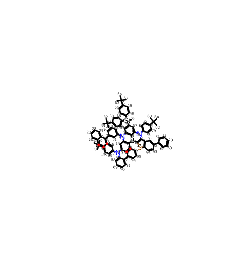 CC(C)(C)c1ccc(N(c2ccc3c(c2)N(c2cccc(-c4cccc5ccccc45)c2)c2cc([Si](C)(c4ccc(C(C)(C)C)cc4)c4ccc(C(C)(C)C)cc4)cc4c2B3c2sc3ccc(-c5ccccc5)cc3c2N4c2ccc(C(C)(C)C)cc2)c2ccccc2-c2ccccc2)cc1